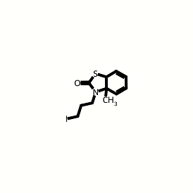 CC12C=CC=CC1SC(=O)N2CCCI